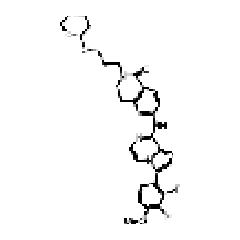 COc1ccc(-c2cnc3c(Nc4ccc5c(c4)CCN(CCCOC4CCCCO4)C5=O)nccn23)c(F)c1F